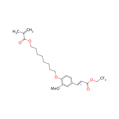 C=C(C)C(=O)OCCCCCCCCOc1ccc(/C=C/C(=O)OCC(F)(F)F)cc1OC